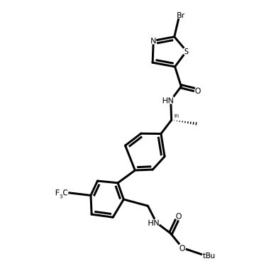 C[C@@H](NC(=O)c1cnc(Br)s1)c1ccc(-c2cc(C(F)(F)F)ccc2CNC(=O)OC(C)(C)C)cc1